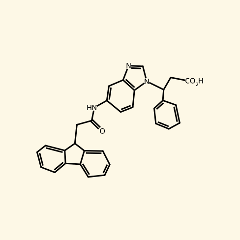 O=C(O)CC(c1ccccc1)n1cnc2cc(NC(=O)CC3c4ccccc4-c4ccccc43)ccc21